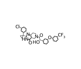 O=C(C(O)c1cccc(Oc2cccc(C(F)(F)F)c2)c1)N1CCc2nc(C3(c4cccc(Cl)c4)CC3)[nH]c(=O)c2C1